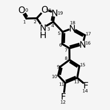 O=CC1NC(c2cc(-c3ccc(F)c(F)c3)ncn2)=NO1